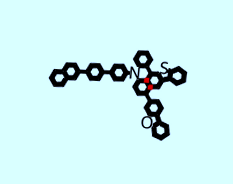 c1ccc(N(c2ccc(-c3ccc(-c4ccc5ccccc5c4)cc3)cc2)c2ccc(-c3ccc4c(c3)oc3ccccc34)cc2)c(-c2cccc3c2sc2ccccc23)c1